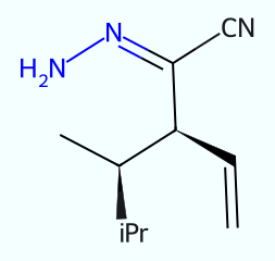 C=C[C@H](/C(C#N)=N\N)[C@H](C)C(C)C